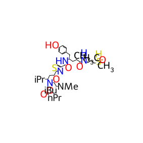 CCCC(=O)OCN(C(=O)[C@@H](NC)[C@@H](C)CC)C(CCc1nc(C(=O)N[C@@H](Cc2ccc(O)cc2)C[C@H](C)C(=O)NCCC[SH](C)(C)=O)cs1)C(C)C